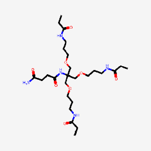 CCC(=O)NCCCOCC(COCCCNC(=O)CC)(COCCCNC(=O)CC)NC(=O)CCC(N)=O